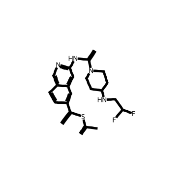 C=C(C)SC(=C)c1ccc2cnc(NC(=C)N3CCC(NCC(F)F)CC3)cc2c1